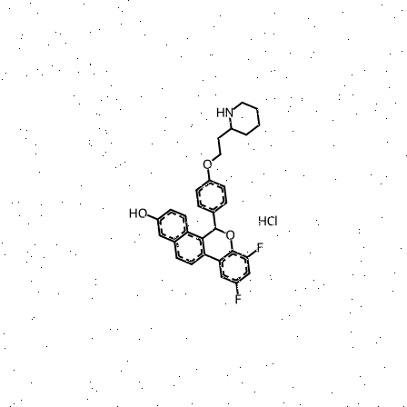 Cl.Oc1ccc2c3c(ccc2c1)-c1cc(F)cc(F)c1OC3c1ccc(OCCC2CCCCN2)cc1